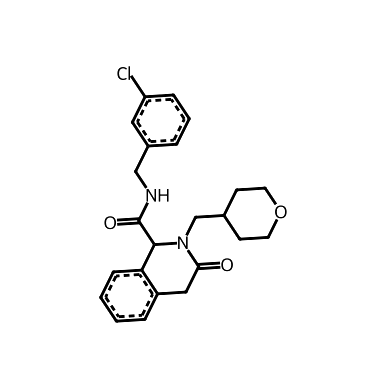 O=C(NCc1cccc(Cl)c1)C1c2ccccc2CC(=O)N1CC1CCOCC1